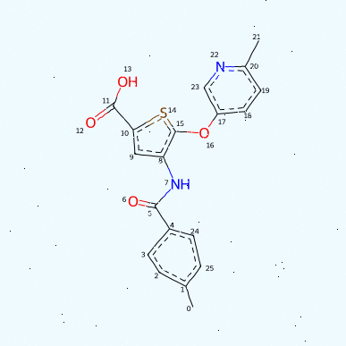 Cc1ccc(C(=O)Nc2cc(C(=O)O)sc2Oc2ccc(C)nc2)cc1